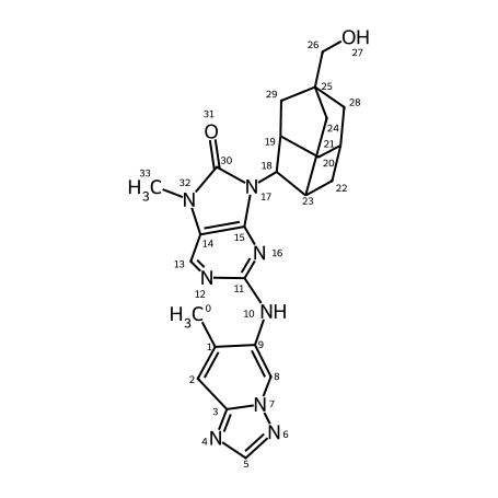 Cc1cc2ncnn2cc1Nc1ncc2c(n1)n(C1C3CC4CC1CC(CO)(C4)C3)c(=O)n2C